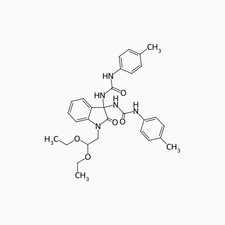 CCOC(CN1C(=O)C(NC(=O)Nc2ccc(C)cc2)(NC(=O)Nc2ccc(C)cc2)c2ccccc21)OCC